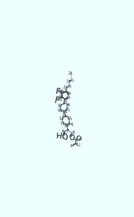 C=C(C)C(=O)OCC(CO)C1CCC(C2CCC(c3ccc(CCCCC)c(F)c3F)CC2)CC1